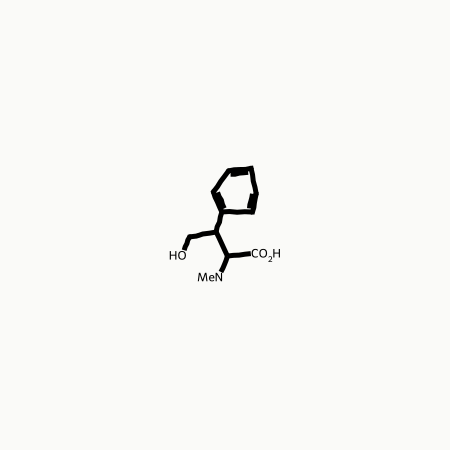 CNC(C(=O)O)C(CO)c1ccccc1